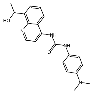 CC(O)c1cccc2c(NC(=O)Nc3ccc(N(C)C)cc3)ccnc12